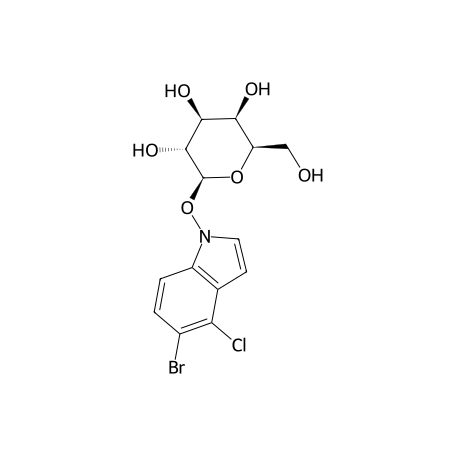 OC[C@H]1O[C@@H](On2ccc3c(Cl)c(Br)ccc32)[C@H](O)[C@@H](O)[C@H]1O